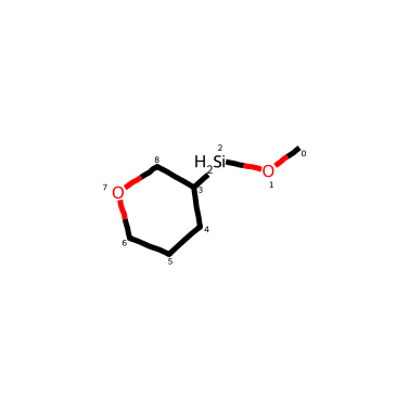 CO[SiH2]C1CCCOC1